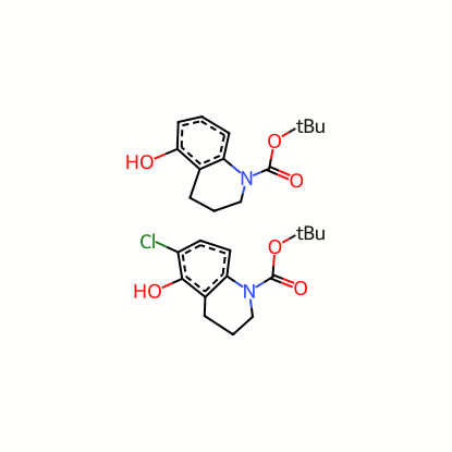 CC(C)(C)OC(=O)N1CCCc2c(O)cccc21.CC(C)(C)OC(=O)N1CCCc2c1ccc(Cl)c2O